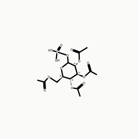 CC(=O)OC[C@H]1OC(OP(=O)(O)O)[C@H](OC(C)=O)[C@@H](OC(C)=O)[C@@H]1OC(C)=O